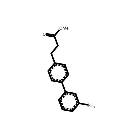 COC(=O)CCc1ccc(-c2cccc(N)c2)cc1